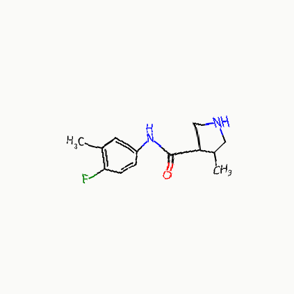 Cc1cc(NC(=O)C2CNCC2C)ccc1F